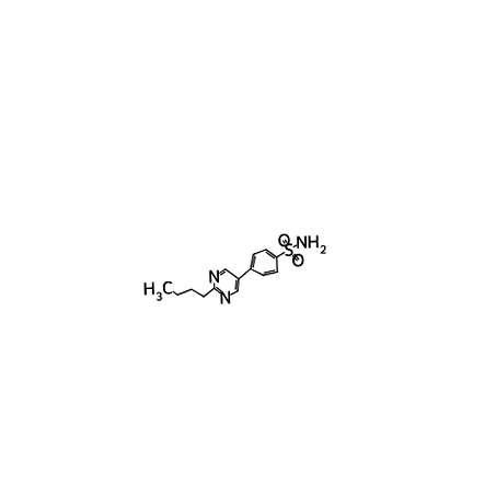 CCCCc1ncc(-c2ccc(S(N)(=O)=O)cc2)cn1